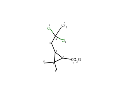 CCOC(=O)C1C(CC(Cl)(Cl)C(F)(F)F)C1(C)C